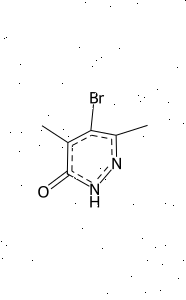 Cc1n[nH]c(=O)c(C)c1Br